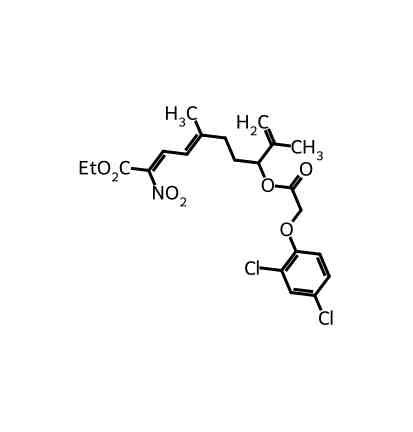 C=C(C)C(CCC(C)=CC=C(C(=O)OCC)[N+](=O)[O-])OC(=O)COc1ccc(Cl)cc1Cl